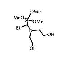 CCC(N(CCO)CCO)[Si](OC)(OC)OC